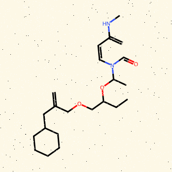 C=C(COCC(CC)OC(C)N(C=O)/C=C\C(=C)NC)CC1CCCCC1